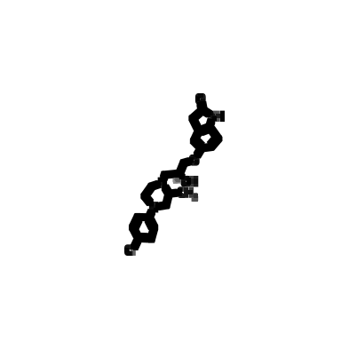 CC1CN(c2ccc(Cl)cc2)CCN1C[C@H](O)COc1ccc2c(c1)CC(=O)N2